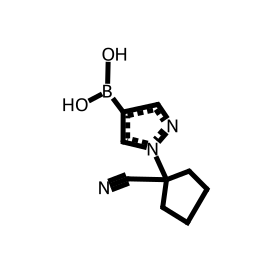 N#CC1(n2cc(B(O)O)cn2)CCCC1